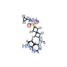 CN(c1ncnc2[nH]ccc12)C1CC2(C1)CC(S(=O)(=O)NC1CC1)C2